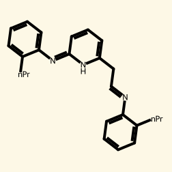 CCCc1ccccc1N=CCc1cccc(=Nc2ccccc2CCC)[nH]1